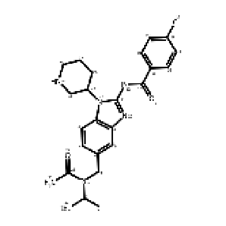 CC(N(Cc1ccc2c(c1)nc(NC(=O)c1ccc(Cl)cc1)n2C1CCCNC1)C(=O)C(F)(F)F)C(C)(C)C